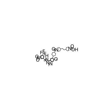 COc1cc2nc(C)nc(N[C@H](C)c3cc([N+](=O)[O-])cc(C(F)(F)F)c3)c2cc1C1CCC(C(=O)N2CCC(CCC3CCN(C(=O)O)CC3)CC2)CC1